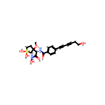 COC1([C@H](NC(=O)c2ccc(C#CC#CCCO)cc2)C(=O)NO)CCS(O)(O)C1